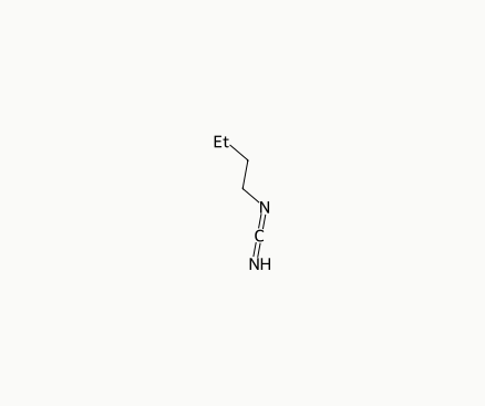 CCCCN=C=N